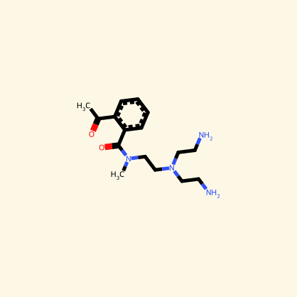 CC(=O)c1ccccc1C(=O)N(C)CCN(CCN)CCN